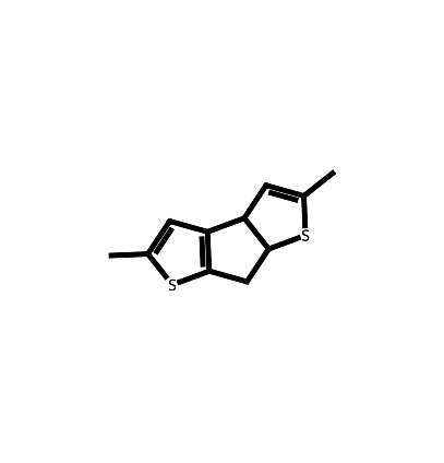 CC1=CC2c3cc(C)sc3CC2S1